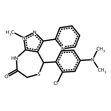 CN(C)c1ccc(C2SCC(=O)Nc3c2c(-c2ccccn2)nn3C)c(Cl)c1